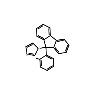 Cc1ccccc1C1(n2ccnc2)c2ccccc2-c2ccccc21